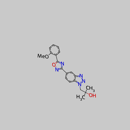 COc1ccccc1-c1nc(-c2ccc3c(c2)nnn3CC(C)(C)O)no1